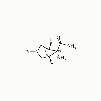 CC(C)N1C[C@@H]2[C@H](C1)[C@@]2(N)C(N)=O